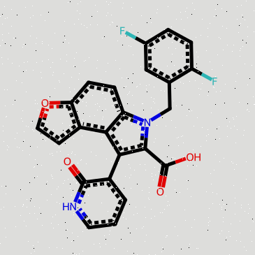 O=C(O)c1c(-c2ccc[nH]c2=O)c2c3ccoc3ccc2n1Cc1cc(F)ccc1F